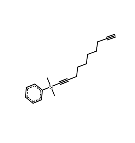 C#CCCCCCCC#C[Si](C)(C)c1ccccc1